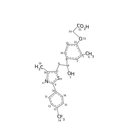 Cc1cc(C(O)Cc2sc(-c3ccc(C(F)(F)F)cc3)nc2C)ccc1OCC(=O)O